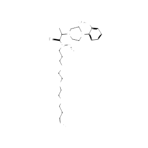 COc1ccccc1N1CCN(C(C)C(=N)N(CCCOCCOCCOCCCC#N)N=N)CC1